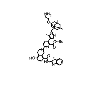 Cc1c(-c2ccc(N3CCc4c(O)ccc(C(=O)Nc5nc6ccccc6s5)c4C3)nc2C(=O)OC(C)(C)C)cnn1CC12CC3(C)CC(C)(C1)CC(OCCN)(C3)C2